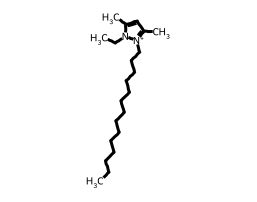 CCCCCCCCCCCCCC[n+]1c(C)cc(C)n1CC